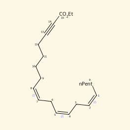 CCCCC/C=C\C/C=C\C/C=C\CCCCC#CC(=O)OCC